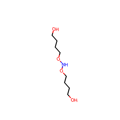 OCCCCONOCCCCO